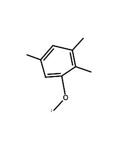 [CH]Oc1cc(C)cc(C)c1C